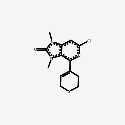 Cn1c(=O)n(C)c2c(C3=CCSCC3)nc(Cl)cc21